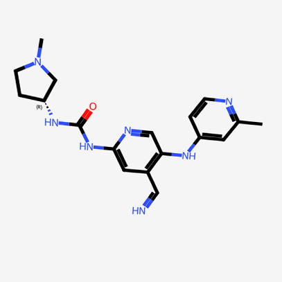 Cc1cc(Nc2cnc(NC(=O)N[C@@H]3CCN(C)C3)cc2C=N)ccn1